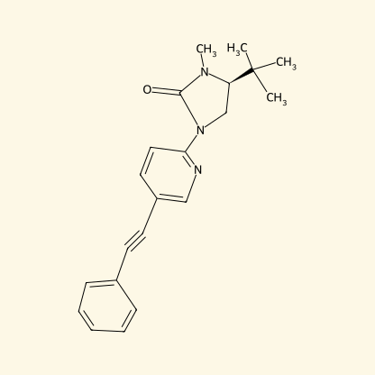 CN1C(=O)N(c2ccc(C#Cc3ccccc3)cn2)C[C@@H]1C(C)(C)C